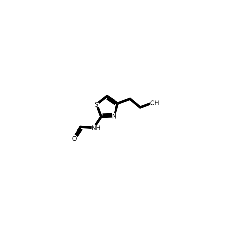 O=CNc1nc(CCO)cs1